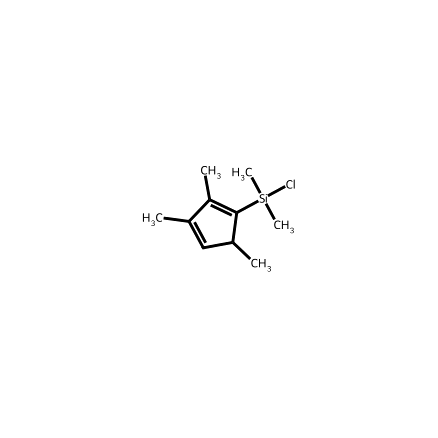 CC1=CC(C)C([Si](C)(C)Cl)=C1C